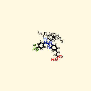 C[C@@H]1C[C@H](n2c(Nc3ccc(C(F)(F)F)cc3)nc3cc(CCC(=O)O)ccc32)CC(C)(C)C1